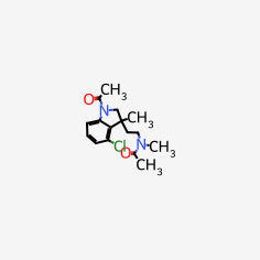 CC(=O)N(C)CCC1(C)CN(C(C)=O)c2cccc(Cl)c21